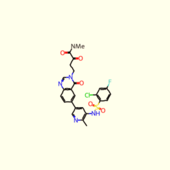 CNC(=O)C(=O)CCn1cnc2ccc(-c3cnc(C)c(NS(=O)(=O)c4ccc(F)cc4Cl)c3)cc2c1=O